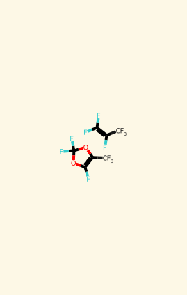 FC(F)=C(F)C(F)(F)F.FC1=C(C(F)(F)F)OC(F)(F)O1